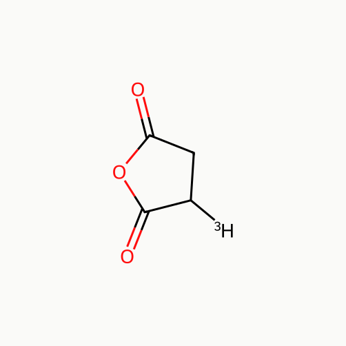 [3H]C1CC(=O)OC1=O